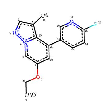 N#Cc1cnn2cc(OCC=O)cc(-c3ccc(F)nc3)c12